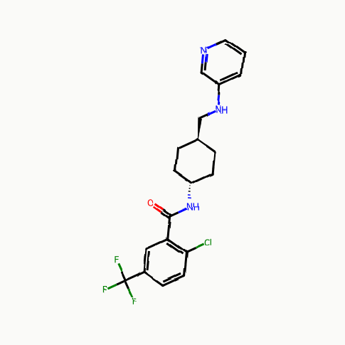 O=C(N[C@H]1CC[C@H](CNc2cccnc2)CC1)c1cc(C(F)(F)F)ccc1Cl